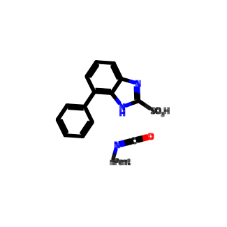 CCCCCN=C=O.O=S(=O)(O)c1nc2cccc(-c3ccccc3)c2[nH]1